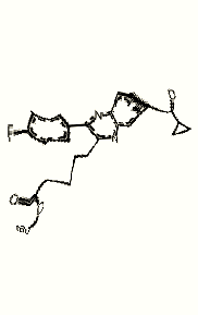 CC(C)(C)OC(=O)CCCCc1nc2cc(C(=O)C3CC3)ccc2nc1-c1ccc(F)cc1